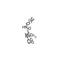 CCn1c(SCC(=O)Nc2ccc(OC(F)(F)F)cc2)nnc1-c1cccc2c1OCO2